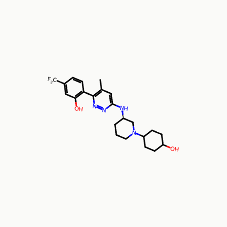 Cc1cc(N[C@@H]2CCCN(C3CCC(O)CC3)C2)nnc1-c1ccc(C(F)(F)F)cc1O